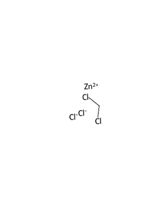 ClCCl.[Cl-].[Cl-].[Zn+2]